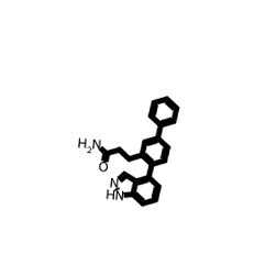 NC(=O)CCc1cc(-c2ccccc2)ccc1-c1cccc2[nH]ncc12